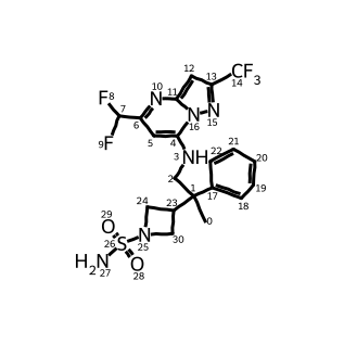 CC(CNc1cc(C(F)F)nc2cc(C(F)(F)F)nn12)(c1ccccc1)C1CN(S(N)(=O)=O)C1